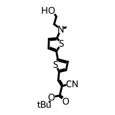 CN(CCO)c1ccc(-c2ccc(/C=C(\C#N)C(=O)OC(C)(C)C)s2)s1